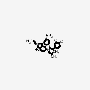 C=CCN1CC[C@@]2(c3cccc(OC)c3)C[C@H](N(CC(C)C)C(=O)Cc3ccc(Cl)c(Cl)c3)CC[C@]2(O)C1